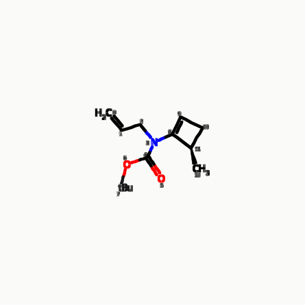 C=CCN(C(=O)OC(C)(C)C)C1=CC[C@H]1C